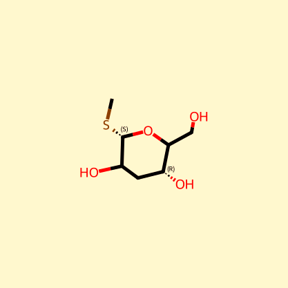 CS[C@@H]1OC(CO)[C@H](O)CC1O